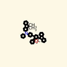 CC1(C)c2ccccc2-c2ccc(N(c3ccccc3)c3ccc(-c4ccc(C5(C)c6ccccc6-c6ccccc65)c5oc6ccccc6c45)cc3)cc21